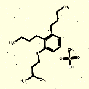 CCCCc1cccc(PCCC(C)C)c1CCCC.CS(=O)(=O)O